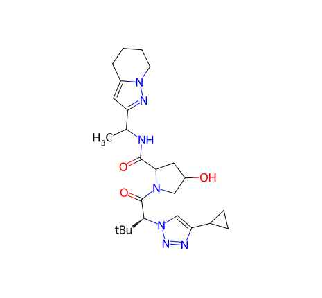 CC(NC(=O)C1CC(O)CN1C(=O)[C@@H](n1cc(C2CC2)nn1)C(C)(C)C)c1cc2n(n1)CCCC2